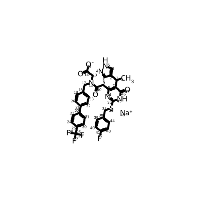 CC(c1cn[nH]c1)c1c(CC(=O)N(CC(=O)[O-])Cc2ccc(-c3ccc(C(F)(F)F)cc3)cc2)nc(SCc2ccc(F)cc2)[nH]c1=O.[Na+]